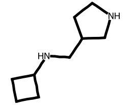 C1CC(NCC2CCNC2)C1